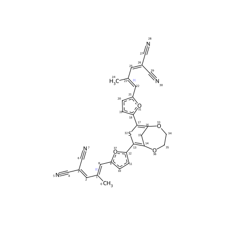 C/C(C=C(C#N)C#N)=C\c1ccc(C2=C3CC(=C(c4ccc(/C=C(\C)C=C(C#N)C#N)o4)S2)OCCO3)o1